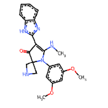 CNC1=C(c2nc3ccccc3[nH]2)C(=O)C2(CNC2)N1c1cc(OC)cc(OC)c1